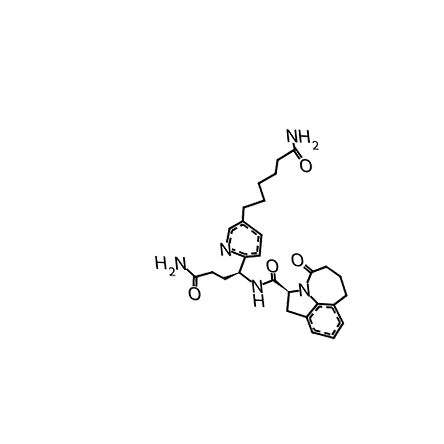 NC(=O)CCCCCc1ccc([C@H](CCC(N)=O)NC(=O)[C@@H]2Cc3cccc4c3N2C(=O)CCC4)nc1